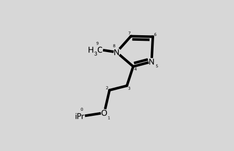 CC(C)OCCc1nccn1C